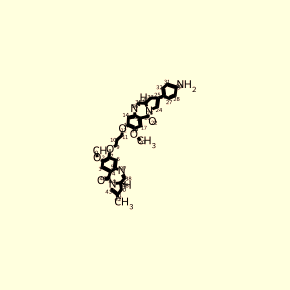 COc1cc2c(cc1OCCCOc1cc3c(cc1OC)C(=O)N1C=C(c4ccc(N)cc4)C[C@H]1C=N3)N=C[C@@H]1CC(C)=CN1C2=O